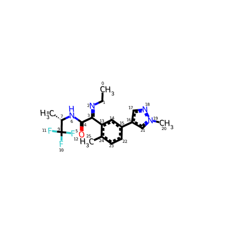 CC/N=C(/C(=O)N[C@@H](C)C(F)(F)F)c1cc(-c2cnn(C)c2)ccc1C